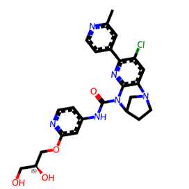 Cc1cc(-c2nc3c(cc2Cl)N2CCC(C2)N3C(=O)Nc2ccnc(OC[C@@H](O)CO)c2)ccn1